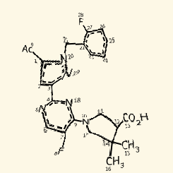 CC(=O)c1cc(-c2ncc(F)c(N3CC(C(=O)O)C(C)(C)C3)n2)nn1Cc1ccccc1F